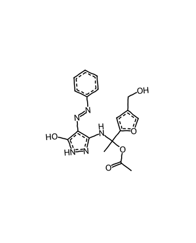 CC(=O)OC(C)(Nc1n[nH]c(O)c1N=Nc1ccccc1)c1cc(CO)co1